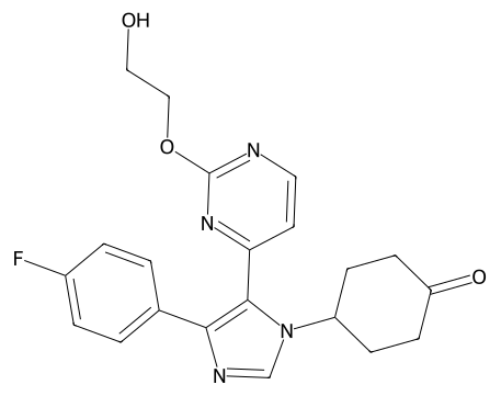 O=C1CCC(n2cnc(-c3ccc(F)cc3)c2-c2ccnc(OCCO)n2)CC1